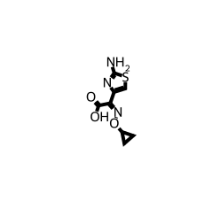 Nc1nc(C(=NOC2CC2)C(=O)O)cs1